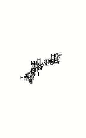 COc1cc(NC(=O)CCN2CCC(OC(=O)Nc3ccsc3-c3cccc(F)c3)CC2)c(Cl)cc1CNC[C@@H](O)c1ccc(O)c2[nH]c(=O)ccc12